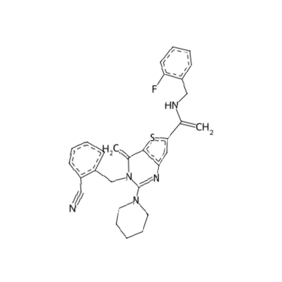 C=C(NCc1ccccc1F)c1cc2c(s1)C(=C)N(Cc1ccccc1C#N)C(N1CCCCC1)=N2